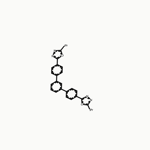 CC(C)c1nnc(-c2ccc(-c3cccc(-c4ccc(-c5nnc(C(C)C)o5)cc4)c3)cc2)o1